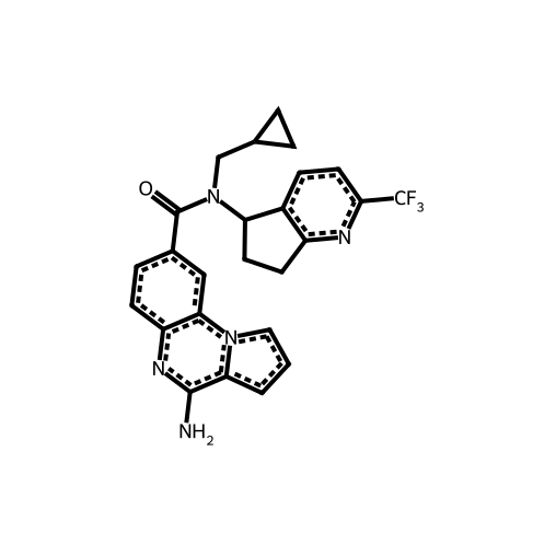 Nc1nc2ccc(C(=O)N(CC3CC3)C3CCc4nc(C(F)(F)F)ccc43)cc2n2cccc12